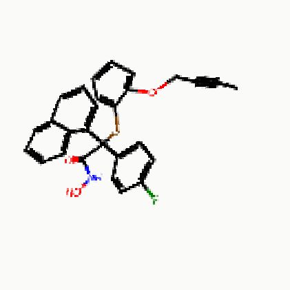 CC#CCOc1ccccc1SC(C(=O)NO)(c1ccc(F)cc1)c1cccc2ccccc12